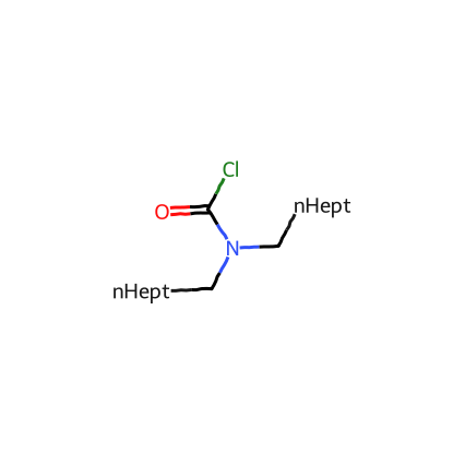 CCCCCCCCN(CCCCCCCC)C(=O)Cl